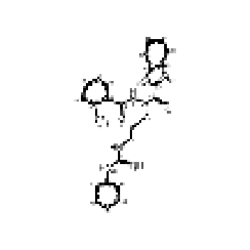 N=C(NCCC[C@H](NC(=O)c1ccccc1C(F)(F)F)C(=O)c1nc2ccccc2s1)Nc1ccccc1